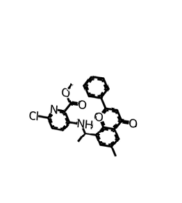 COC(=O)c1nc(Cl)ccc1NC(C)c1cc(C)cc2c(=O)cc(-c3ccccc3)oc12